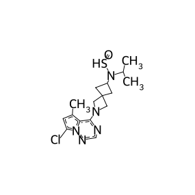 Cc1cc(Cl)n2ncnc(N3CC4(CC(N([SH]=O)C(C)C)C4)C3)c12